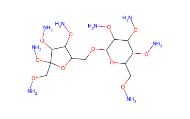 NOCC1OC(OCC2OC(CON)(ON)C(ON)C2ON)C(ON)C(ON)C1ON